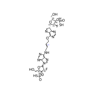 O=[PH](S)O[C@H]1[C@@H](F)[C@H](n2cnc3c(NC/C=C/COc4ncnc5c4N=CC5[C@@H]4O[C@H](CO)[C@@H](O[PH](=O)S)[C@H]4F)ncnc32)O[C@@H]1CO